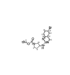 CC(C)(C)OC(=O)N1CCC(Nc2ncc3cc(Br)ccc3n2)C1